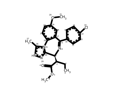 CCC(C(=O)OC)[C@@H]1N=C(c2ccc(Cl)cc2)c2cc(OC)ccc2-n2c(C)nnc21